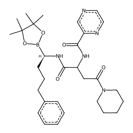 CC1(C)OB([C@H](CCCc2ccccc2)NC(=O)C(CC(=O)N2CCCCC2)NC(=O)c2cnccn2)OC1(C)C